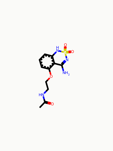 CC(=O)NCCOc1cccc2c1C(N)=NS(=O)(=O)N2